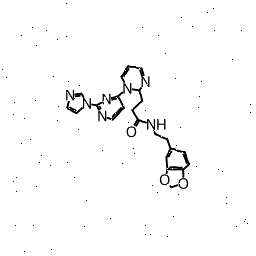 O=C(CCC1N=CC=CN1c1ccnc(-n2ccnc2)n1)NCCc1ccc2c(c1)OCO2